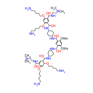 COc1cc(OC)c(C(O)NC2CCC(NC(O)C3C=C(C(O)NCCN(C)C)C(OCCCCCN)=CC3OCCCCCN)CC2)cc1C(O)NC1CCC(NC(O)c2cc(C(O)NCCN(C)C)c(OCCCCCN)cc2OCCCCCN)CC1